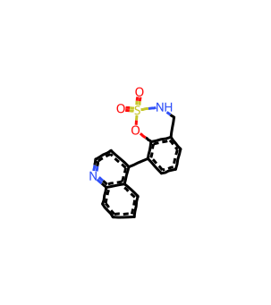 O=S1(=O)NCc2cccc(-c3ccnc4ccccc34)c2O1